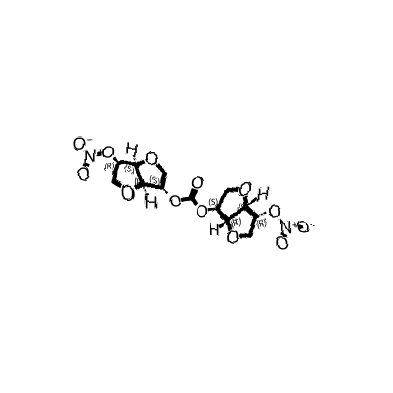 O=C(O[C@H]1CO[C@H]2[C@@H]1OC[C@H]2O[N+](=O)[O-])O[C@H]1CO[C@H]2[C@@H]1OC[C@H]2O[N+](=O)[O-]